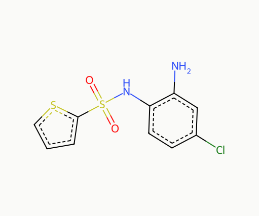 Nc1cc(Cl)ccc1NS(=O)(=O)c1cccs1